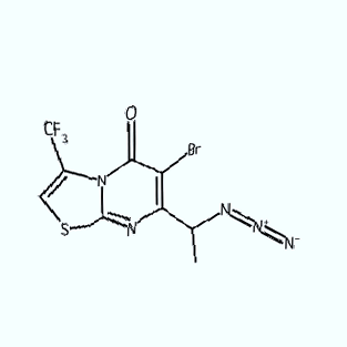 CC(N=[N+]=[N-])c1nc2scc(C(F)(F)F)n2c(=O)c1Br